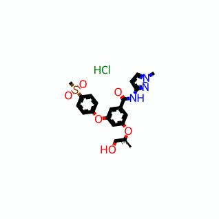 C[C@@H](CO)Oc1cc(Oc2ccc(S(C)(=O)=O)cc2)cc(C(=O)Nc2ccn(C)n2)c1.Cl